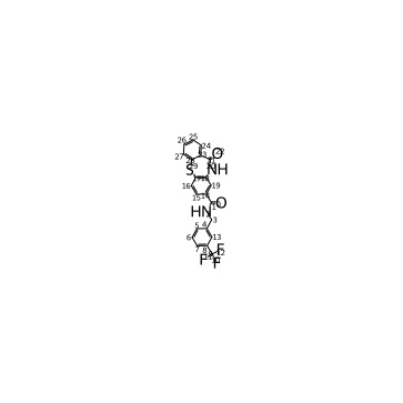 O=C(NCc1cccc(C(F)(F)F)c1)c1ccc2c(c1)NC(=O)c1ccccc1S2